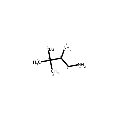 CC(C)(C)C(C)(C)C(N)CN